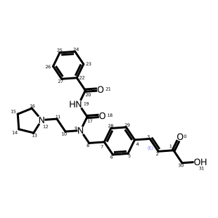 O=C(/C=C/c1ccc(CN(CCN2CCCC2)C(=O)NC(=O)c2ccccc2)cc1)CO